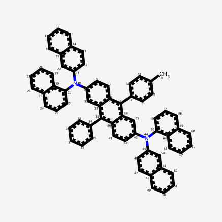 Cc1ccc(-c2c3ccc(N(c4ccc5ccccc5c4)c4cccc5ccccc45)cc3c(-c3ccccc3)c3ccc(N(c4ccc5ccccc5c4)c4cccc5ccccc45)cc23)cc1